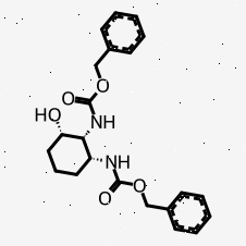 O=C(N[C@H]1[C@@H](O)CCC[C@H]1NC(=O)OCc1ccccc1)OCc1ccccc1